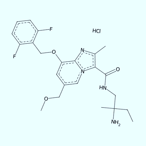 CCC(C)(N)CNC(=O)c1c(C)nc2c(OCc3c(F)cccc3F)cc(COC)cn12.Cl